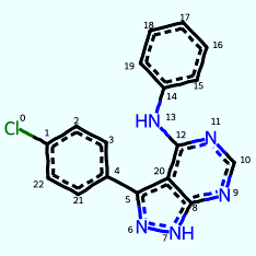 Clc1ccc(-c2n[nH]c3ncnc(Nc4ccccc4)c23)cc1